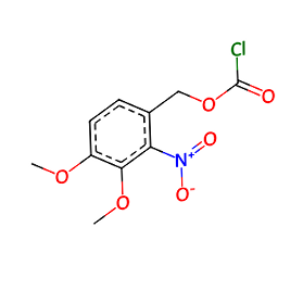 COc1ccc(COC(=O)Cl)c([N+](=O)[O-])c1OC